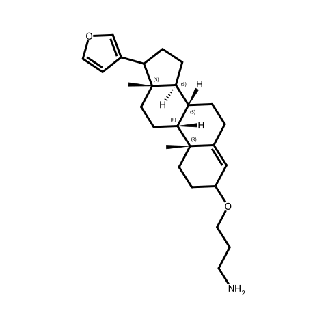 C[C@]12CCC(OCCCN)C=C1CC[C@@H]1[C@H]2CC[C@]2(C)C(c3ccoc3)CC[C@@H]12